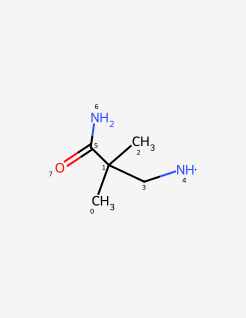 CC(C)(C[NH])C(N)=O